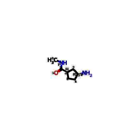 CNC(=O)[C@@H]1CC[C@@H](N)C1